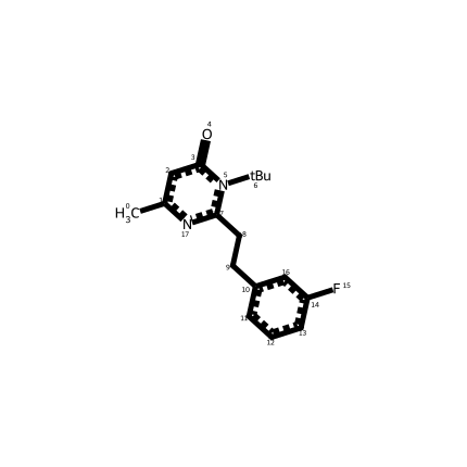 Cc1cc(=O)n(C(C)(C)C)c(CCc2cccc(F)c2)n1